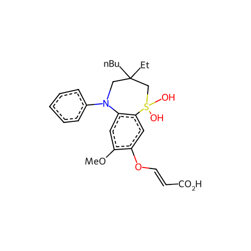 CCCCC1(CC)CN(c2ccccc2)c2cc(OC)c(OC=CC(=O)O)cc2S(O)(O)C1